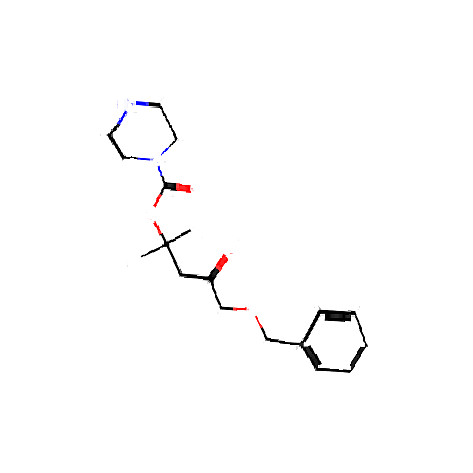 CC(C)(CC(=O)COCc1ccccc1)OC(=O)N1CCNCC1